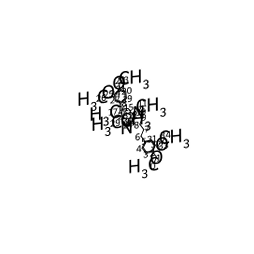 COc1ccc(CCCCN(C)C(C#N)CC(C)(c2ccc(OC)c(OC)c2)C(C)C)cc1OC